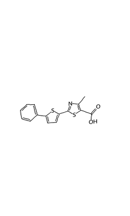 Cc1nc(-c2ccc(-c3ccccc3)s2)sc1C(=O)O